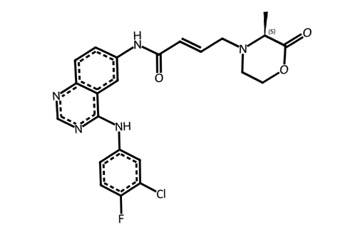 C[C@H]1C(=O)OCCN1CC=CC(=O)Nc1ccc2ncnc(Nc3ccc(F)c(Cl)c3)c2c1